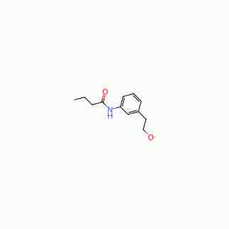 CCCC(=O)Nc1cccc(CC[O])c1